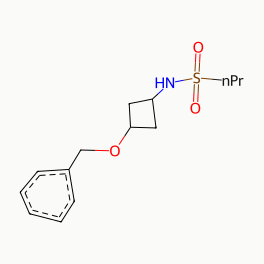 CCCS(=O)(=O)NC1CC(OCc2ccccc2)C1